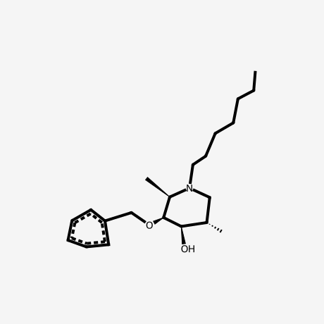 CCCCCCCN1C[C@H](C)[C@@H](O)[C@@H](OCc2ccccc2)[C@H]1C